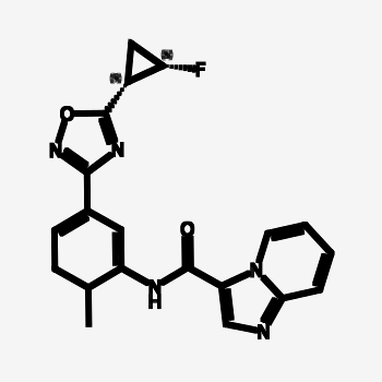 CC1CC=C(c2noc([C@@H]3C[C@@H]3F)n2)C=C1NC(=O)c1cnc2ccccn12